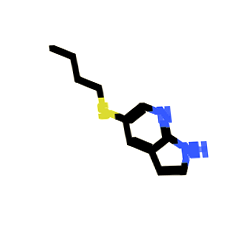 CCCCSc1cnc2[nH]ccc2c1